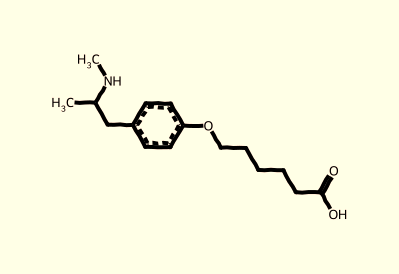 CNC(C)Cc1ccc(OCCCCCC(=O)O)cc1